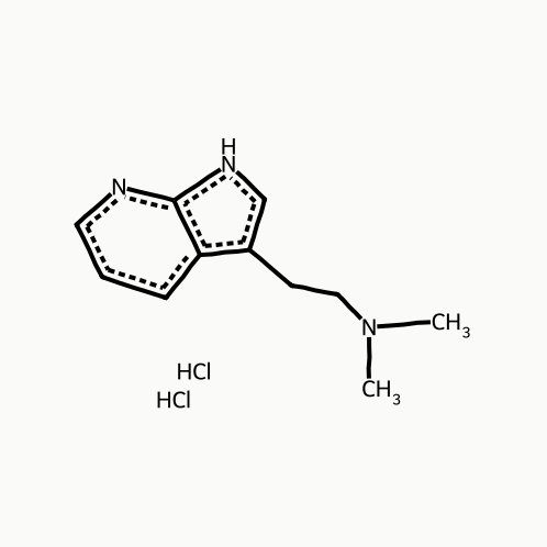 CN(C)CCc1c[nH]c2ncccc12.Cl.Cl